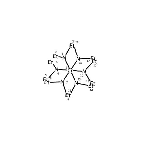 CC[N](CC)[Cr]([N](CC)CC)([N](CC)CC)([N](CC)CC)([N](CC)CC)[N](CC)CC